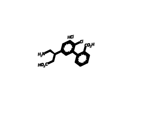 Cl.NC[C@H](CC(=O)O)c1ccc(Cl)c(-c2ccccc2C(=O)O)c1